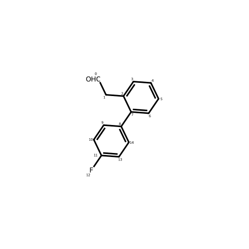 O=CCc1ccccc1-c1ccc(F)cc1